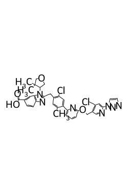 Cc1cc(Cc2nc3ccc(C(=O)O)cc3n2C2COCC2(C)C)c(Cl)cc1-c1cccc(OCc2cnc(-n3ccnn3)cc2Cl)n1